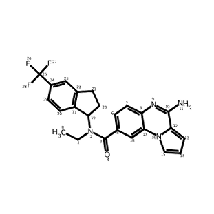 CCN(C(=O)c1ccc2nc(N)c3cccn3c2c1)C1CCc2cc(C(F)(F)F)ccc21